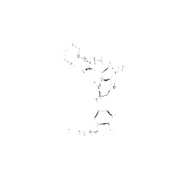 CC(=O)N[C@@H]1CCc2ccc(Oc3cnc4[nH]cc(C(=O)NC5CCCCC5)c4n3)cc21